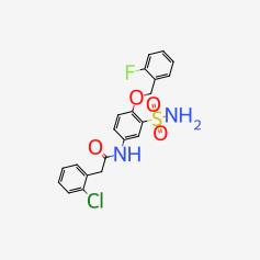 NS(=O)(=O)c1cc(NC(=O)Cc2ccccc2Cl)ccc1OCc1ccccc1F